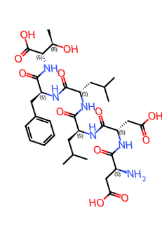 CC(C)C[C@H](NC(=O)[C@H](CC(C)C)NC(=O)[C@H](CC(=O)O)NC(=O)[C@@H](N)CC(=O)O)C(=O)N[C@@H](Cc1ccccc1)C(=O)N[C@H](C(=O)O)[C@@H](C)O